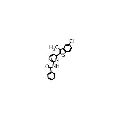 Cc1c(-c2ccnc(NC(=O)c3ccccc3)n2)sc2ccc(Cl)cc12